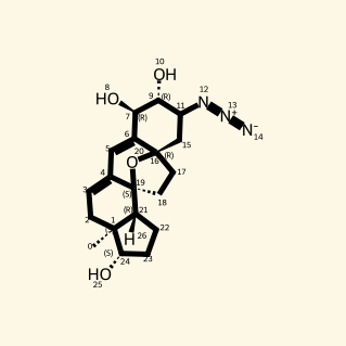 C[C@]12CC=C3C=C4[C@@H](O)[C@H](O)C(N=[N+]=[N-])C[C@]45CC[C@]3(O5)[C@@H]1CC[C@@H]2O